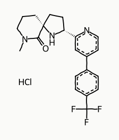 CN1CCC[C@@]2(CC[C@H](c3cc(-c4ccc(C(F)(F)F)cc4)ccn3)N2)C1=O.Cl